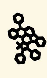 CC1(C)C2=C(C(c3ccccc3)=C1c1ccccc1)n1c3ccccc3c3ccc4c(c31)B2c1ccccc1N4C1=CCCC=C1